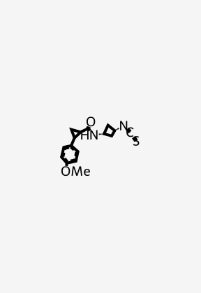 COc1ccc(C2CC2C(=O)N[C@H]2C[C@@H](N=C=S)C2)cc1